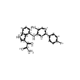 CC(C)c1cnc(-c2ccc(F)cc2)nc1Nc1cccc2[nH]cc(C(=O)C(N)=O)c12